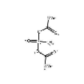 COC(=O)OP(C)(=O)OC(=O)OC